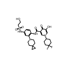 O=C(Nc1ccc(NS(=O)(=O)CCO)cc1N1CCC2(CC1)CC2)c1cn(C2CCC(F)(F)CC2)cc(O)c1=O